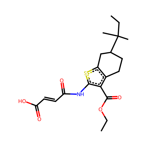 CCOC(=O)c1c(NC(=O)C=CC(=O)O)sc2c1CCC(C(C)(C)CC)C2